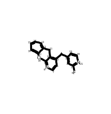 Fc1cc(Cc2ccnc3c2Cc2ccccc2O3)ccn1